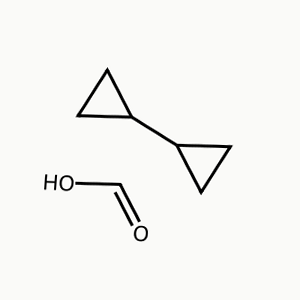 C1CC1C1CC1.O=CO